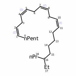 CCCCC/C=C\C/C=C\C/C=C\C/C=C\CCCC[C](CC)CCC